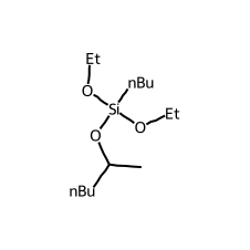 CCCCC(C)O[Si](CCCC)(OCC)OCC